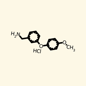 COc1ccc(Oc2cccc(CN)c2)cc1.Cl